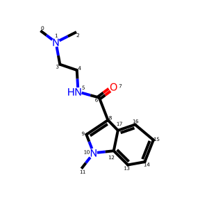 CN(C)CCNC(=O)c1cn(C)c2ccccc12